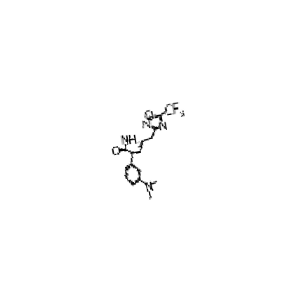 CN(C)c1cccc(C(CCCc2noc(C(F)(F)F)n2)C(N)=O)c1